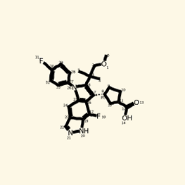 COCC(C)(C)c1c([C@@H]2CCC(C(=O)O)C2)c2c(F)c3[nH]ncc3cc2n1-c1ccc(F)cc1